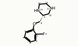 Fc1ccccc1OC[C@H]1CNCCN1